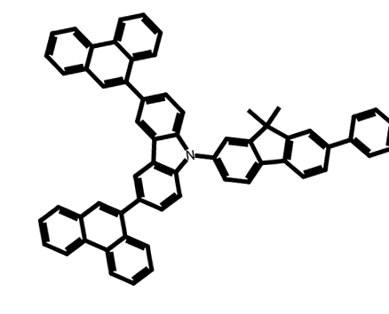 CC1(C)c2cc(-c3ccccc3)ccc2-c2ccc(-n3c4ccc(-c5cc6ccccc6c6ccccc56)cc4c4cc(-c5cc6ccccc6c6ccccc56)ccc43)cc21